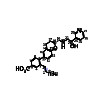 CCCC/C=C/c1cc(C(=O)O)ccc1-c1ccc2c(c1)CC[C@H](CNC[C@@H](O)c1cccnc1)O2